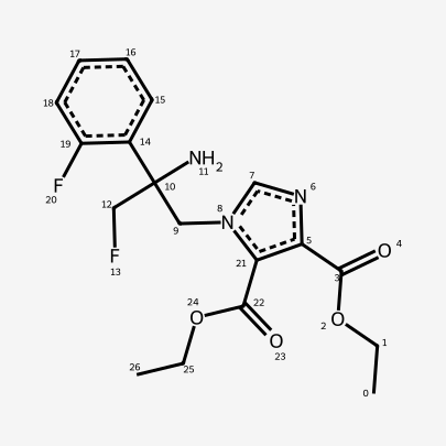 CCOC(=O)c1ncn(CC(N)(CF)c2ccccc2F)c1C(=O)OCC